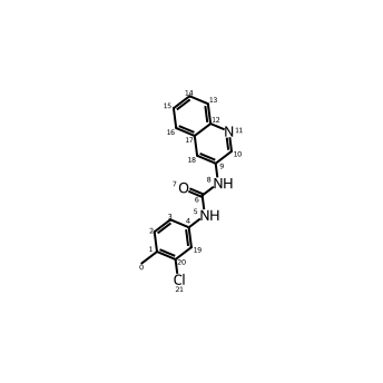 Cc1ccc(NC(=O)Nc2cnc3ccccc3c2)cc1Cl